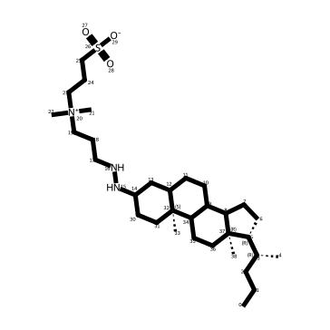 CCC[C@@H](C)[C@H]1CCC2C3CCC4CC(NNCCC[N+](C)(C)CCCS(=O)(=O)[O-])CC[C@]4(C)C3CC[C@@]21C